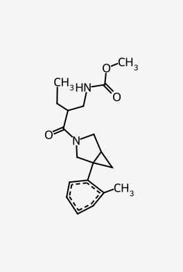 CCC(CNC(=O)OC)C(=O)N1CC2CC2(c2ccccc2C)C1